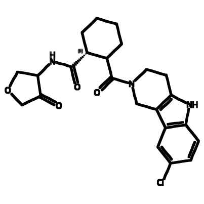 O=C1COCC1NC(=O)[C@@H]1CCCCC1C(=O)N1CCc2[nH]c3ccc(Cl)cc3c2C1